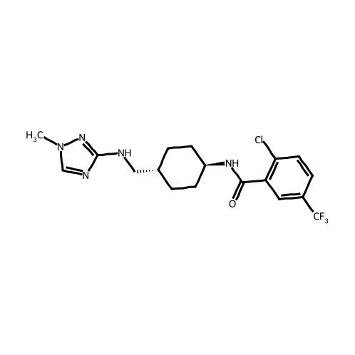 Cn1cnc(NC[C@H]2CC[C@H](NC(=O)c3cc(C(F)(F)F)ccc3Cl)CC2)n1